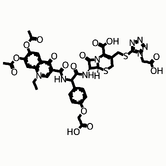 CCn1cc(C(=O)NC(C(=O)N[C@@H]2C(=O)N3C(C(=O)O)=C(CSc4nnnn4CC(=O)O)CS[C@@H]23)c2ccc(OCC(=O)O)cc2)c(=O)c2cc(OC(C)=O)c(OC(C)=O)cc21